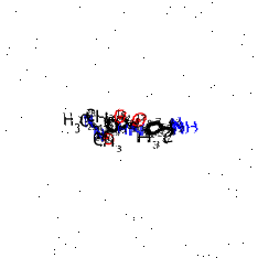 Cc1[nH]ncc1-c1ccc(NC(=O)C2COc3ccc(C(=O)N(C)CCN(C)C)cc3C2)cc1